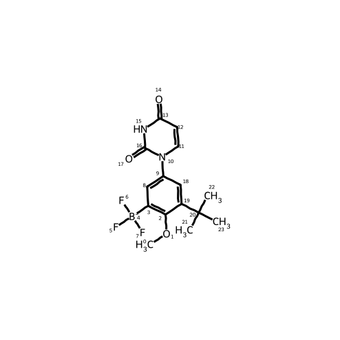 COc1c([B-](F)(F)F)cc(-n2ccc(=O)[nH]c2=O)cc1C(C)(C)C